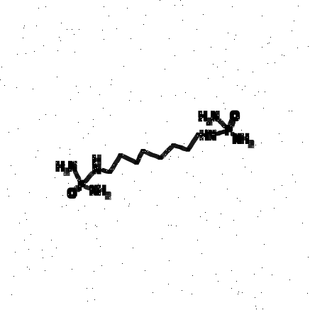 NP(N)(=O)NCCCCCCCCNP(N)(N)=O